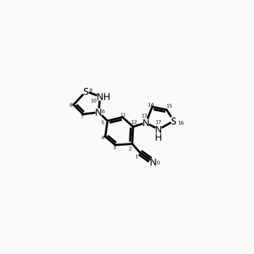 N#Cc1ccc(N2C=CSN2)cc1N1C=CSN1